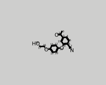 CC(=O)c1ccc(C#N)c(Oc2ccc(OCCO)cc2)c1